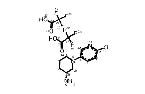 N[C@H]1CCCN(c2ccc(Cl)nc2)C1.O=C(O)C(F)(F)F.O=C(O)C(F)(F)F